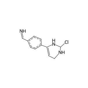 N=Cc1ccc(C2=CCNC(Cl)N2)cc1